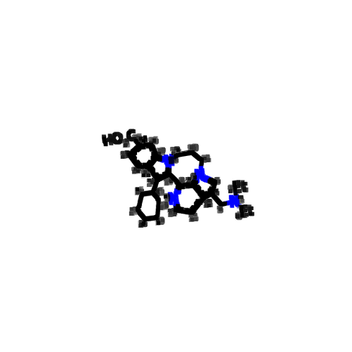 CCN(CC)Cc1cn2c3c(nccc13)-c1c(C3CCCCC3)c3ccc(C(=O)O)cc3n1CCC2